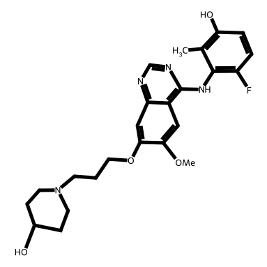 COc1cc2c(Nc3c(F)ccc(O)c3C)ncnc2cc1OCCCN1CCC(O)CC1